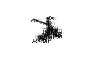 CCCCCCCC/C=C\CCCCCCCCCCCCCCCC(=O)N[C@@H](CO[C@@H]1OC(CO)[C@@H](O[C@@H]2OC(CO)[C@H](O[C@@H]3OC(CO)[C@H](O)[C@H](O[C@@H]4OC(CO)[C@H](O)[C@H](O[C@]5(C(=O)O)CC(O)[C@@H](NC(C)=O)C([C@H](O)[C@H](O)CO)O5)C4O)C3NC(C)=O)[C@H](O[C@]3(C(=O)O)CC(O)[C@@H](NC(=O)CO)C([C@H](O)[C@H](O)CO)O3)C2O)[C@H](O)C1O)[C@H](O)/C=C/CCCCCCCCCCCCC